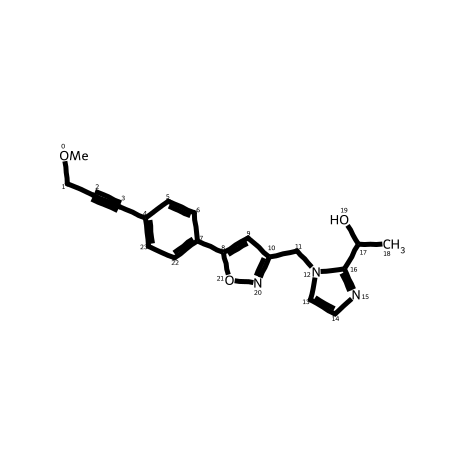 COCC#Cc1ccc(-c2cc(Cn3ccnc3C(C)O)no2)cc1